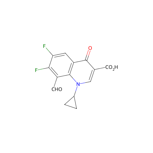 O=Cc1c(F)c(F)cc2c(=O)c(C(=O)O)cn(C3CC3)c12